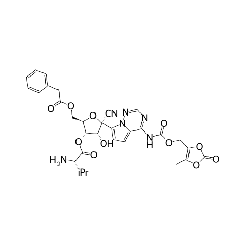 Cc1oc(=O)oc1COC(=O)Nc1ncnn2c([C@]3(C#N)O[C@H](COC(=O)Cc4ccccc4)[C@@H](OC(=O)[C@@H](N)C(C)C)[C@H]3O)ccc12